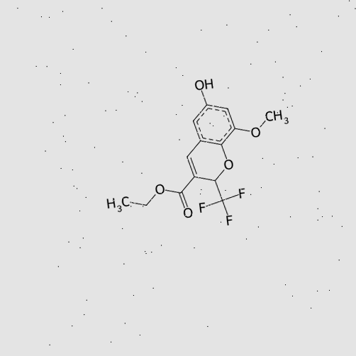 CCOC(=O)C1=Cc2cc(O)cc(OC)c2OC1C(F)(F)F